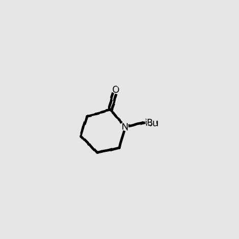 CCC(C)N1CCCCC1=O